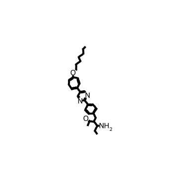 CCCCCCCOC1=CCC=C(c2cnc(-c3ccc(CC(C(C)=O)C(N)CC)cc3)nc2)C=C1